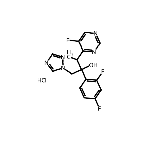 CC(c1ncncc1F)C(O)(Cn1cncn1)c1ccc(F)cc1F.Cl